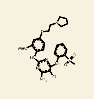 COc1cc(OCCN2CCCC2)ccc1Nc1nc(N)c(Cl)c(Nc2ccccc2S(C)(=O)=O)n1